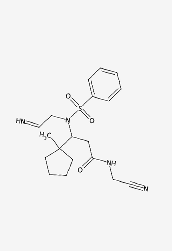 CC1(C(CC(=O)NCC#N)N(CC=N)S(=O)(=O)c2ccccc2)CCCC1